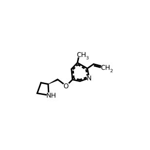 C=Cc1ncc(OC[C@@H]2CCN2)cc1C